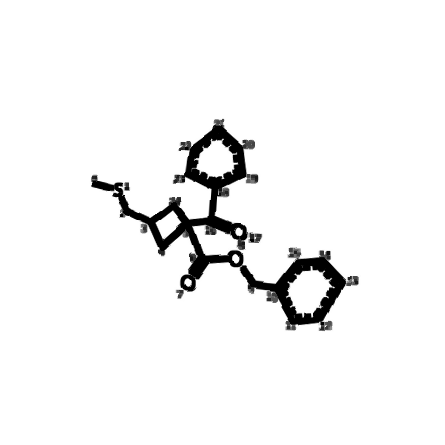 CSCC1CC(C(=O)OCc2ccccc2)(C(=O)c2ccccc2)C1